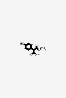 COC(=O)C(C([NH])=O)c1ccc(O)cc1